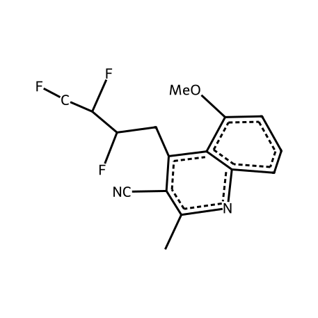 COc1cccc2nc(C)c(C#N)c(CC(F)C(F)CF)c12